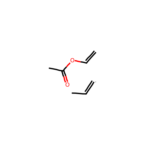 C=COC(C)=O.[CH]=CC